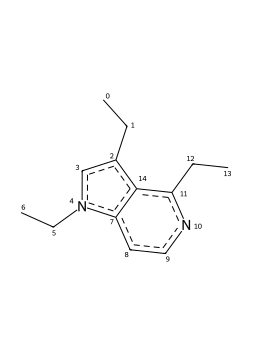 CCc1cn(CC)c2ccnc(CC)c12